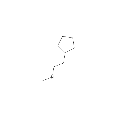 C[N]CCC1CCCC1